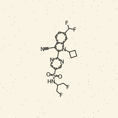 N#Cc1c(-c2ncc(S(=O)(=O)NC(CF)CF)cn2)n(C2CCC2)c2cc(C(F)F)ccc12